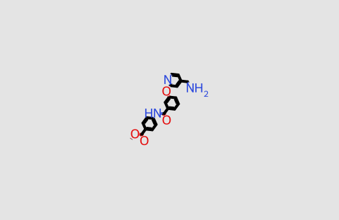 COC(=O)c1ccc(NC(=O)c2cccc(Oc3cc(CN)ccn3)c2)cc1